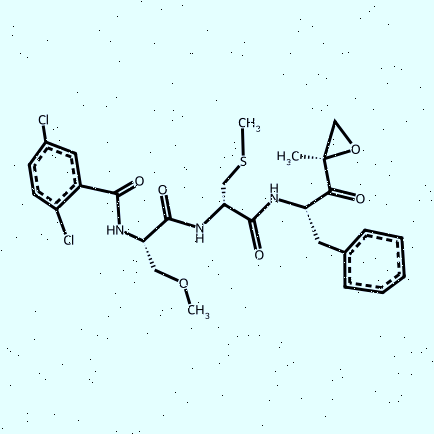 COC[C@H](NC(=O)c1cc(Cl)ccc1Cl)C(=O)N[C@H](CSC)C(=O)N[C@@H](Cc1ccccc1)C(=O)[C@@]1(C)CO1